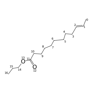 C/C=C/CCCCCCCCC(=O)OCCC